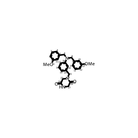 COc1cccc(CN(Cc2cccc(OC)c2)c2cccc(CN3CC(=O)NCC3=O)c2)c1